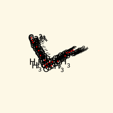 CC1OC(=O)C(C)OC1=O.CC1OC(=O)C(C)OC1=O.CC1OC(=O)C(C)OC1=O.O=P([O-])([O-])[O-].O=P([O-])([O-])[O-].O=P([O-])([O-])[O-].O=P([O-])([O-])[O-].O=P([O-])([O-])[O-].O=P([O-])([O-])[O-].O=P([O-])([O-])[O-].O=P([O-])([O-])[O-].[Ca+2].[Ca+2].[Ca+2].[Ca+2].[Ca+2].[Ca+2].[Ca+2].[Ca+2].[Ca+2].[Ca+2].[Ca+2].[Ca+2]